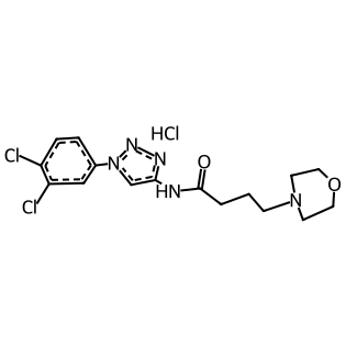 Cl.O=C(CCCN1CCOCC1)Nc1cn(-c2ccc(Cl)c(Cl)c2)nn1